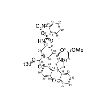 COCCCCC1(CNC(=O)C2CC(NS(=O)(=O)c3ccccc3[N+](=O)[O-])CN(C(=O)OC(C)(C)C)C2)c2ccccc2Oc2ccccc21